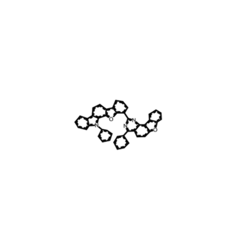 c1ccc(-c2nc(-c3cccc4c3oc3c4ccc4c5ccccc5n(-c5ccccc5)c43)nc3c2ccc2oc4ccccc4c23)cc1